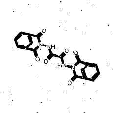 O=C(NN1C(=O)c2cccc(c2)C1=O)C(=O)NN1C(=O)c2cccc(c2)C1=O